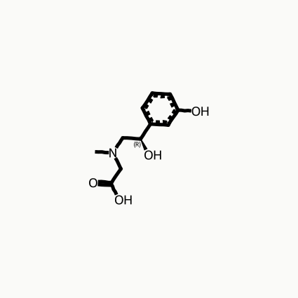 CN(CC(=O)O)C[C@H](O)c1cccc(O)c1